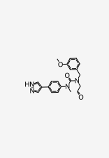 COc1cccc(CN(CC=O)C(=O)N(C)c2ccc(-c3cn[nH]c3)cc2)c1